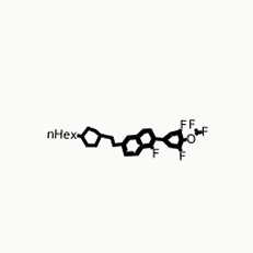 CCCCCCC1CCC(CCc2ccc3c(F)c(-c4cc(F)c(OC(F)F)c(F)c4)ccc3c2)CC1